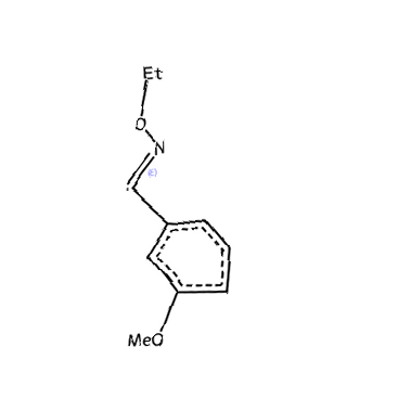 CCO/N=[C]/c1cccc(OC)c1